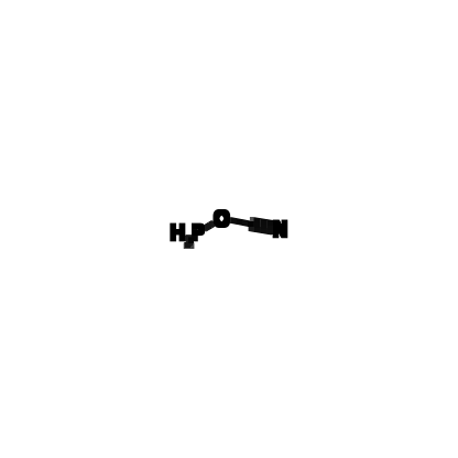 N#COP